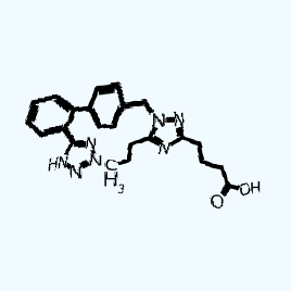 CCCc1nc(CCCC(=O)O)nn1Cc1ccc(-c2ccccc2-c2nnn[nH]2)cc1